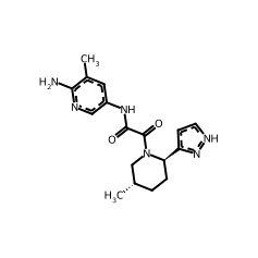 Cc1cc(NC(=O)C(=O)N2C[C@@H](C)CC[C@@H]2c2cc[nH]n2)cnc1N